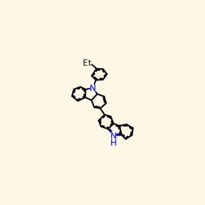 CCc1cccc(N2c3ccccc3C3C=C(c4ccc5[nH]c6ccccc6c5c4)C=CC32)c1